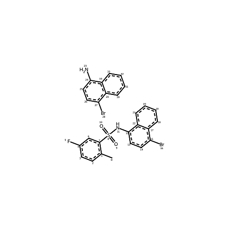 Cc1ccc(F)cc1S(=O)(=O)Nc1ccc(Br)c2ccccc12.Nc1ccc(Br)c2ccccc12